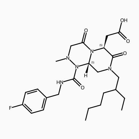 CCCCC(CC)CN1C[C@H]2N(C(=O)CN(C)N2C(=O)NCc2ccc(F)cc2)[C@@H](CC(=O)O)C1=O